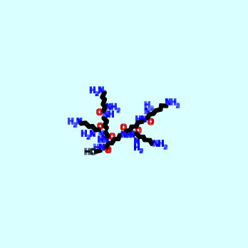 C#CCNC(=O)C(CCCCNC(=O)C(CCCCNC(=O)C(N)CCCCCN)NC(=O)[C@H](N)CCCCN)NC(=O)[C@H](CCCCNC(=O)[C@@H](N)CCCCN)NC(=O)[C@@H](N)CCCCN